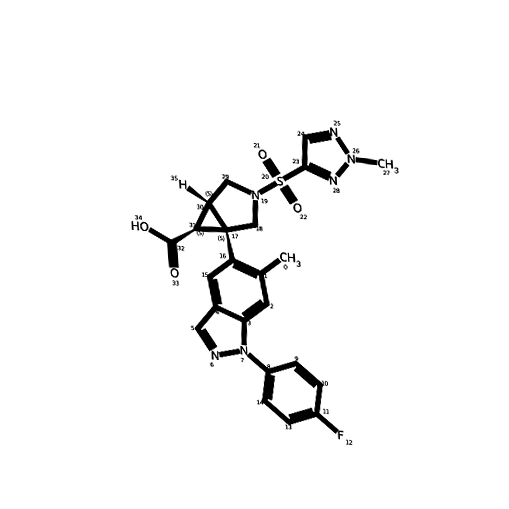 Cc1cc2c(cnn2-c2ccc(F)cc2)cc1[C@]12CN(S(=O)(=O)c3cnn(C)n3)C[C@H]1[C@@H]2C(=O)O